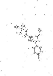 CC(C)(C)OC(=O)NNC(CCCO)c1ccc(F)cc1